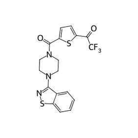 O=C(c1ccc(C(=O)C(F)(F)F)s1)N1CCN(c2nsc3ccccc23)CC1